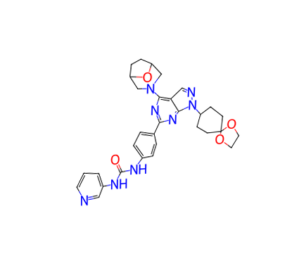 O=C(Nc1ccc(-c2nc(N3CC4CCC(C3)O4)c3cnn(C4CCC5(CC4)OCCO5)c3n2)cc1)Nc1cccnc1